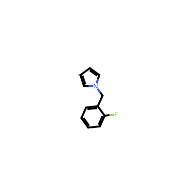 Fc1ccccc1Cn1c[c]cc1